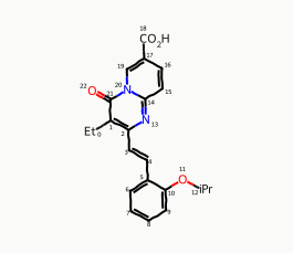 CCc1c(/C=C/c2ccccc2OC(C)C)nc2ccc(C(=O)O)cn2c1=O